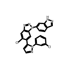 Clc1cccc(-n2nccc2-c2cc3c(cc2Cl)nnn3-c2ccc3cn[nH]c3c2)c1